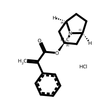 C=C(C(=O)O[C@H]1C[C@H]2CC[C@@H](C1)N2C)c1ccccc1.Cl